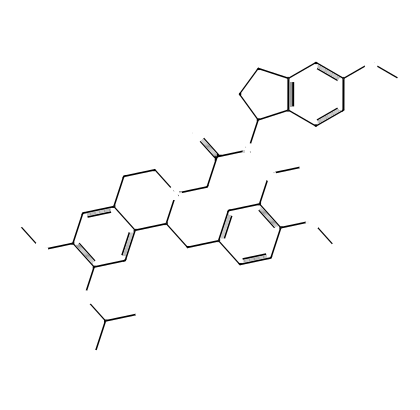 COc1ccc2c(c1)CCC2NC(=O)CN1CCc2cc(OC)c(OC(C)C)cc2C1Cc1ccc(OC)c(OC)c1